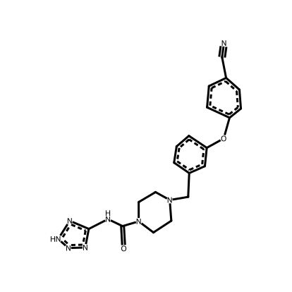 N#Cc1ccc(Oc2cccc(CN3CCN(C(=O)Nc4nn[nH]n4)CC3)c2)cc1